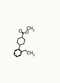 CCc1ccccc1C1CCC(C(=O)OC)CC1